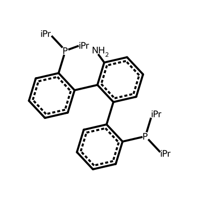 CC(C)P(c1ccccc1-c1cccc(N)c1-c1ccccc1P(C(C)C)C(C)C)C(C)C